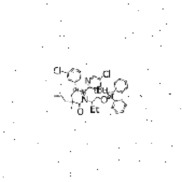 C=CCC1(C)C[C@H](c2cccc(Cl)c2)[C@@H](c2ccc(Cl)cn2)N(C(CC)CO[Si](c2ccccc2)(c2ccccc2)C(C)(C)C)C1=O